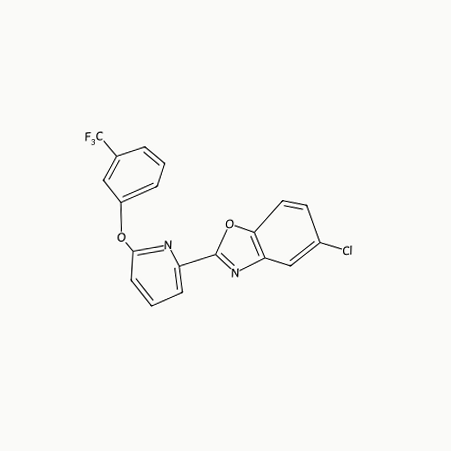 FC(F)(F)c1cccc(Oc2cccc(-c3nc4cc(Cl)ccc4o3)n2)c1